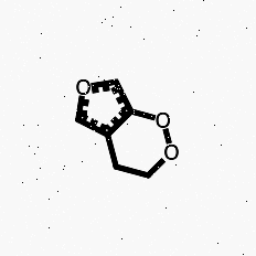 c1occ2c1CCOO2